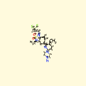 Cc1ccc(N2CCNCC2)nc1-c1ccc2c(c1)N(C)S(=O)(=O)N2CC1CC1(F)F